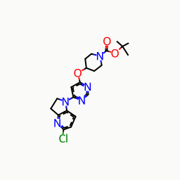 CC(C)(C)OC(=O)N1CCC(Oc2cc(N3CCc4nc(Cl)ccc43)ncn2)CC1